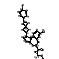 CC[C@H](C)OC(=O)N1Cc2cc(Cl)ccc2-n2c(nnc2C2CC3(C2)CN(c2ccc(F)cn2)C3)C1